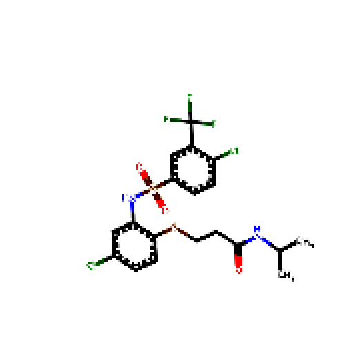 CC(C)NC(=O)CCSc1ccc(Cl)cc1NS(=O)(=O)c1ccc(Cl)c(C(F)(F)F)c1